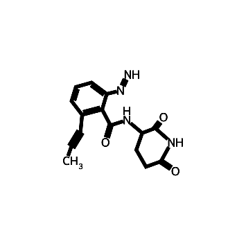 CC#Cc1cccc(N=N)c1C(=O)NC1CCC(=O)NC1=O